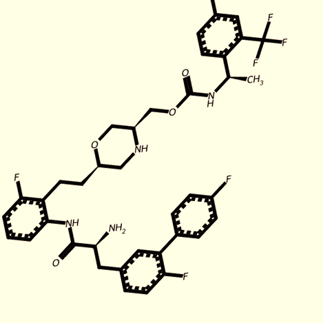 C[C@@H](NC(=O)OC[C@@H]1CO[C@H](CCc2c(F)cccc2NC(=O)[C@@H](N)Cc2ccc(F)c(-c3ccc(F)cc3)c2)CN1)c1ccc(F)cc1C(F)(F)F